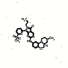 C=CCn1c(=O)c2cnc(Nc3ccc4c(c3)N3CCN(C)C[C@H]3CO4)nc2n1-c1cccc(S(C)(=O)=O)n1